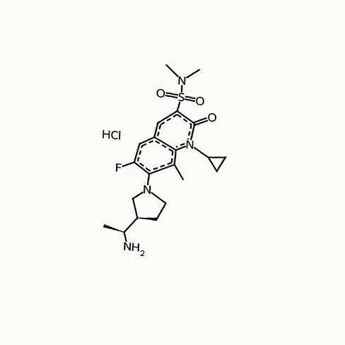 Cc1c(N2CC[C@@H]([C@H](C)N)C2)c(F)cc2cc(S(=O)(=O)N(C)C)c(=O)n(C3CC3)c12.Cl